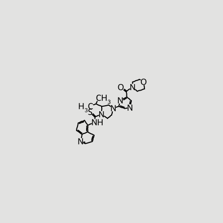 CC(C)C1CN(c2cncc(C(=O)N3CCOCC3)n2)CCN1C(=S)Nc1cccc2ncccc12